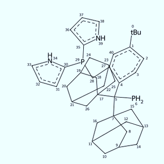 CC(C)(C)c1ccc(C(P)(C23CC4CC(CC(C4)C2)C3)C23CC4CC(CC(C4)C2)C3)c(CP(c2ccc[nH]2)c2ccc[nH]2)c1